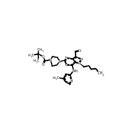 CCCCCn1nc(C=O)c2nc(N3CCN(C(=O)OC(C)(C)C)CC3)nc(Nc3cc(C)ccn3)c21